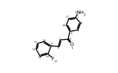 Nc1ccc(C(=O)C=Cc2ccccc2F)cc1